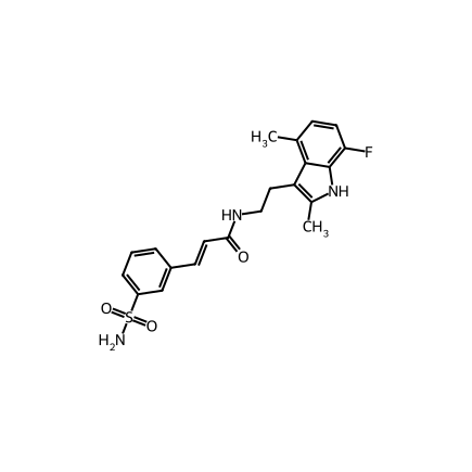 Cc1[nH]c2c(F)ccc(C)c2c1CCNC(=O)C=Cc1cccc(S(N)(=O)=O)c1